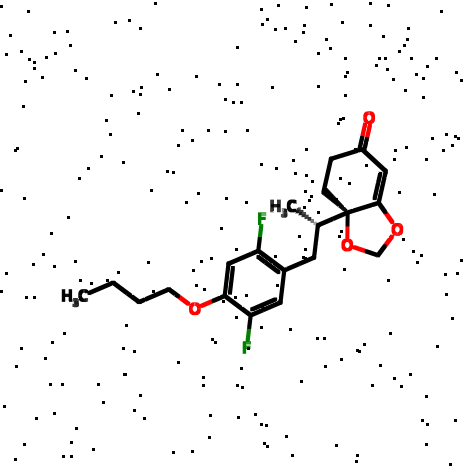 CCCCOc1cc(F)c(C[C@H](C)[C@]23CCC(=O)C=C2OCO3)cc1F